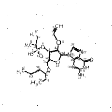 C#CCOC1C(OP(=O)(S)C(C)CC)C(COC(CC)CCC)OC1n1cnc2c(=O)[nH]c(N)nc21